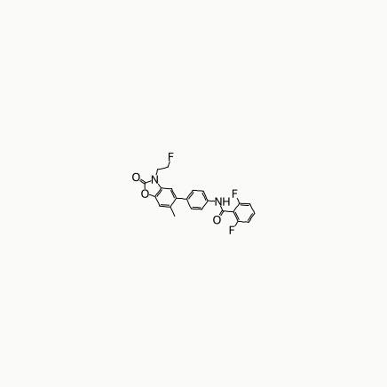 Cc1cc2oc(=O)n(CCF)c2cc1-c1ccc(NC(=O)c2c(F)cccc2F)cc1